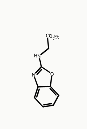 CCOC(=O)CNc1nc2ccccc2o1